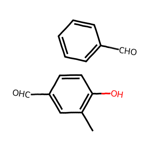 Cc1cc(C=O)ccc1O.O=Cc1ccccc1